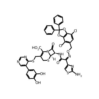 Nc1nc(/C(=N/OCc2cc(Cl)c3c(c2Cl)OC(c2ccccc2)(c2ccccc2)O3)C(=O)N[C@@H]2C(=O)N3C(C(=O)O)=C(CSc4ncncc4-c4ccc(O)c(O)c4)CS[C@H]23)cs1